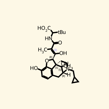 C/C(C(=O)NC(C(=O)O)C(C)(C)C)=C(/O)[C@@H]1Oc2c(O)ccc3c2[C@@]12CCN(CC1CC1)[C@H](C3)[C@@]2(C)O